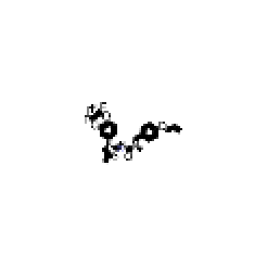 C=CCOc1ccc(CN(C)C(=O)/N=c2\sc(C)cn2-c2ccc3c(c2)OC(F)(F)C(F)(F)O3)cc1